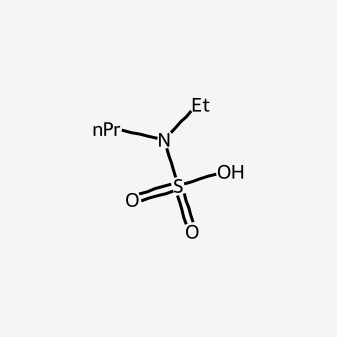 [CH2]CN(CCC)S(=O)(=O)O